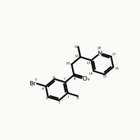 Cc1ccc(Br)cc1C(=O)CC(C)c1ccccn1